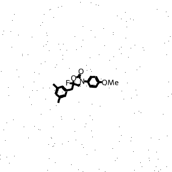 COc1ccc(N2CC(F)(Cc3cc(C)cc(C)c3)OC2=O)cc1